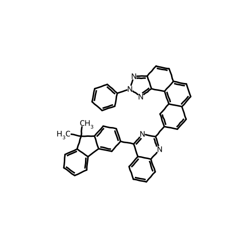 CC1(C)c2ccccc2-c2cc(-c3nc(-c4ccc5ccc6ccc7nn(-c8ccccc8)nc7c6c5c4)nc4ccccc34)ccc21